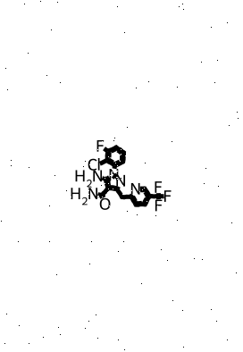 NC(=O)c1c(Cc2ccc(C(F)(F)F)cn2)nn(-c2cccc(F)c2Cl)c1N